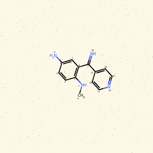 CNc1ccc(N)cc1C(=N)c1ccncc1